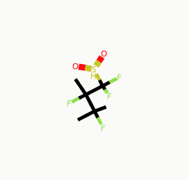 CC(C)(F)C(C)(F)C(F)(F)[SH](=O)=O